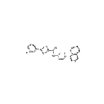 O=C(NC1CCN(c2nncc3ccccc23)CC1)c1ccc(-c2cccc(F)c2)nc1